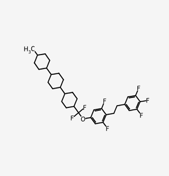 CC1CCC(C2CCC(C3CCC(C(F)(F)Oc4cc(F)c(CCc5cc(F)c(F)c(F)c5)c(F)c4)CC3)CC2)CC1